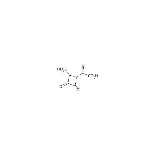 O=C(O)C(=O)C1C(=O)C(=O)C1C(=O)O